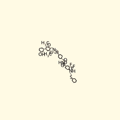 COc1cc(-c2cccc(O)c2)cc(OC)c1CN1CCN(c2ccc(C(=O)NS(=O)(=O)c3ccc(NCCSc4ccccc4)c(C(F)(F)F)c3)cc2)CC1